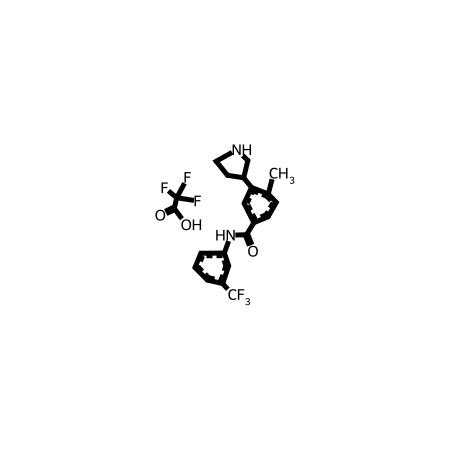 Cc1ccc(C(=O)Nc2cccc(C(F)(F)F)c2)cc1C1CCNC1.O=C(O)C(F)(F)F